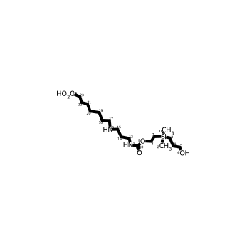 C[Si](C)(CCCO)CCOC(=O)NCCCNCCCCCCCC(=O)O